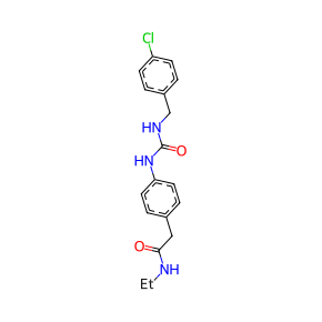 CCNC(=O)Cc1ccc(NC(=O)NCc2ccc(Cl)cc2)cc1